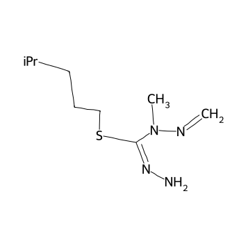 C=NN(C)/C(=N\N)SCCCC(C)C